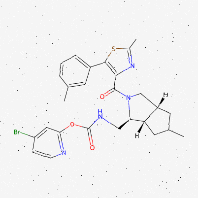 Cc1cccc(-c2sc(C)nc2C(=O)N2C[C@@H]3CC(C)C[C@@H]3[C@H]2CNC(=O)Oc2cc(Br)ccn2)c1